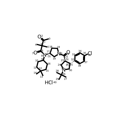 CC(=O)C(C)(C)C(=O)N(C1CCC(C)(C)CC1)[C@H]1CCN(C(=O)[C@@H]2CN(C(C)(C)C)C[C@H]2c2ccc(Cl)cc2)C1.Cl